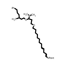 CCCCCC=CCC=CCCCCCCCCOCCC(OCCC(C)CCCC(C)C)N(C)C